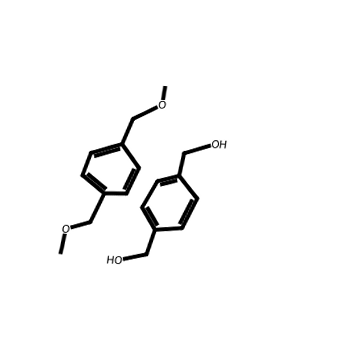 COCc1ccc(COC)cc1.OCc1ccc(CO)cc1